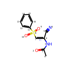 CC(=O)N/C(C#N)=C/S(=O)(=O)c1ccccc1